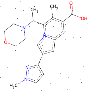 Cc1c(C(=O)O)cc2cc(-c3ccn(C)n3)cn2c1C(C)N1CCOCC1